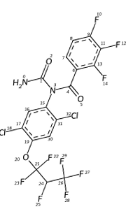 NC(=O)N(C(=O)c1ccc(F)c(F)c1F)c1cc(Cl)c(OC(F)(F)C(F)C(F)(F)F)cc1Cl